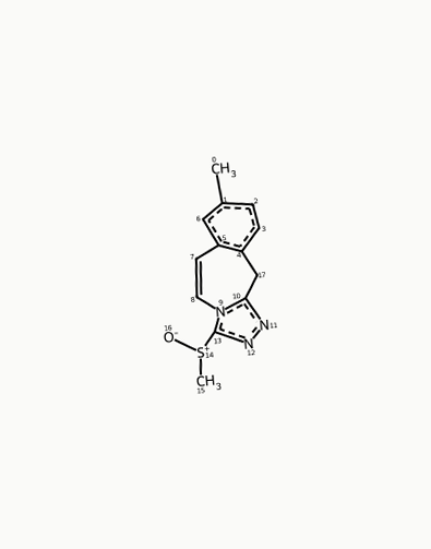 Cc1ccc2c(c1)C=Cn1c(nnc1[S+](C)[O-])C2